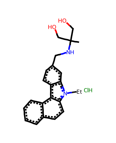 CCn1c2cc(CNC(C)(CO)CO)ccc2c2c3ccccc3ccc21.Cl